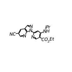 CCOC(=O)c1cnc(-n2ncc3cc(C#N)cnc32)cc1NC(C)C